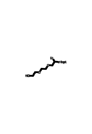 CCCCCCCC(CC)COCCOCCO